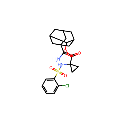 NC(=O)C12CC3CC(C1)C(OC(=O)C1(NS(=O)(=O)c4ccccc4Cl)CC1)C(C3)C2